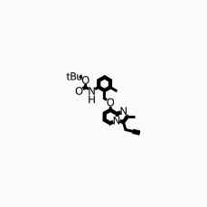 C#CCc1c(C)nc2c(OCc3c(C)cccc3NC(=O)OC(C)(C)C)cccn12